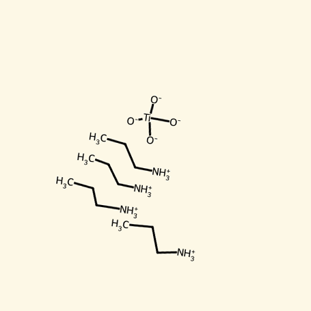 CCC[NH3+].CCC[NH3+].CCC[NH3+].CCC[NH3+].[O-][Ti]([O-])([O-])[O-]